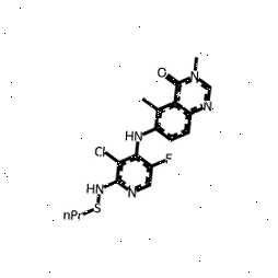 CCCSNc1ncc(F)c(Nc2ccc3ncn(C)c(=O)c3c2C)c1Cl